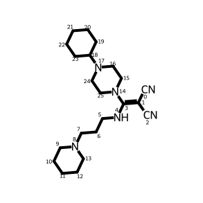 N#CC(C#N)=C(NCCCN1CCCCC1)N1CCN(C2CCCCC2)CC1